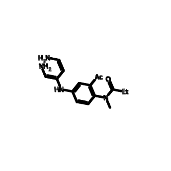 CCC(=O)N(C)c1ccc(NC(/C=C\N)=C/N)cc1C(C)=O